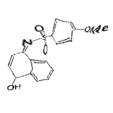 COc1ccc(S(=O)(=O)/N=C2/C=CC(O)c3ccccc32)cc1